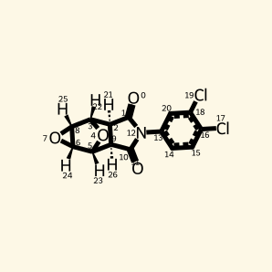 O=C1[C@@H]2[C@@H]3O[C@@H]([C@@H]4O[C@@H]43)[C@@H]2C(=O)N1c1ccc(Cl)c(Cl)c1